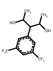 CC(O)C(c1cc(C(F)(F)F)cc(C(F)(F)F)c1)C(C)O